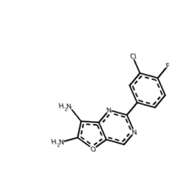 Nc1oc2cnc(-c3ccc(F)c(Cl)c3)nc2c1N